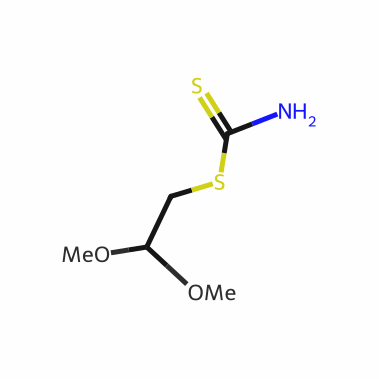 COC(CSC(N)=S)OC